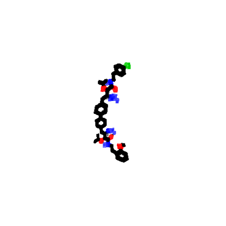 COc1ccccc1CCNC(=O)C(OC(C)C)[C@H](N)CC1CCC(C2CCC(C[C@@H](N)C(OC(C)C)C(=O)NCCc3ccc(Cl)cc3)CC2)CC1